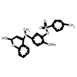 COc1ccc(N(C)C2=CC(O)Oc3ccccc32)cc1OS(=O)(=O)c1ccc(C)cc1